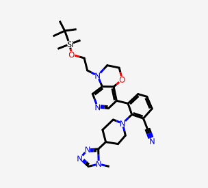 Cn1cnnc1C1CCN(c2c(C#N)cccc2-c2cncc3c2OCCN3CCO[Si](C)(C)C(C)(C)C)CC1